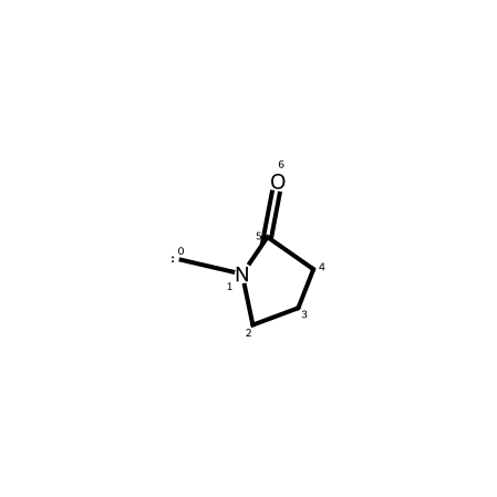 [CH]N1CCCC1=O